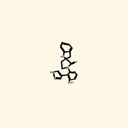 COc1cccc(N2CCC3(Cc4ccccc4N3)C2=O)c1-c1cn[nH]c1